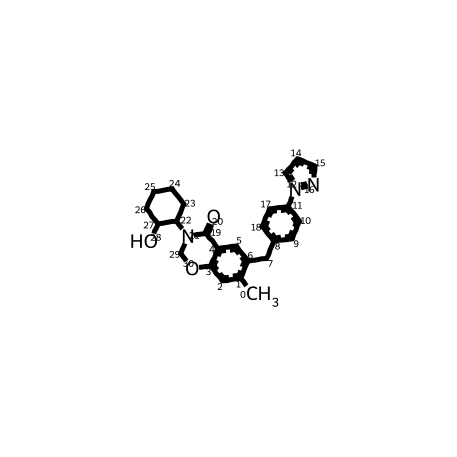 Cc1cc2c(cc1Cc1ccc(-n3cccn3)cc1)C(=O)N(C1CCCCC1O)CO2